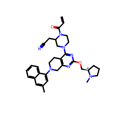 C=CC(=O)N1CCN(c2nc(OC[C@H]3CCCN3C)nc3c2CCN(c2cc(C)cc4ccccc24)C3)CC1CC#N